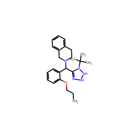 CCCOc1ccccc1C(C1=NNNN1C(C)(C)C)N1CCc2ccccc2C1